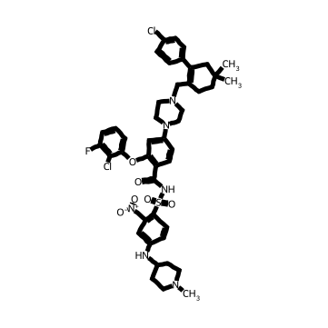 CN1CCC(Nc2ccc(S(=O)(=O)NC(=O)c3ccc(N4CCN(CC5=C(c6ccc(Cl)cc6)CC(C)(C)CC5)CC4)cc3Oc3cccc(F)c3Cl)c([N+](=O)[O-])c2)CC1